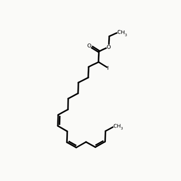 CC/C=C\C/C=C\C/C=C\CCCCCCC(I)C(=O)OCC